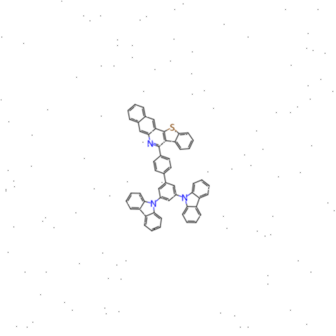 c1ccc2cc3c(cc2c1)nc(-c1ccc(-c2cc(-n4c5ccccc5c5ccccc54)cc(-n4c5ccccc5c5ccccc54)c2)cc1)c1c2ccccc2sc31